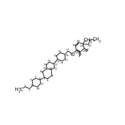 CCCC1CCC(C2CCC3CC(C4CCC(COC5=C(F)C(F)C(C)(CCC)C=C5)CC4)CCC3C2)CC1